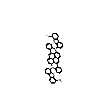 CC(C)(C)c1cccc2c1oc1c(-n3c4ccccc4c4cc5ccc6c7c(cc8ccc3c4c8c57)c3ccccc3n6-c3cccc4c5c(oc34)C(C(C)(C)C)CC=C5)cccc12